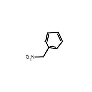 O=[N+]([O-])Cc1[c]cccc1